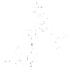 C[C@H]1COCCN1CCCn1nc(-c2ccc(Cl)c(C#CC3C=C(CN(CCO)CCO)C(Cl)=CC3)c2)c2c1CCN(C(=O)C(N)=O)C2